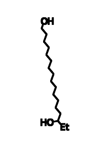 CCC(O)CCCCCCCCCCCCCCO